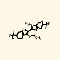 CCSc1c(-c2nc3cc(C(F)(F)F)ncc3n2C)sc2cc(C(F)(F)F)ccc12